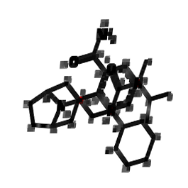 CC(C)N(C)C(=O)N(CCN1C2CCC1CC(c1ccccc1C(N)=O)C2)C1CCCCC1